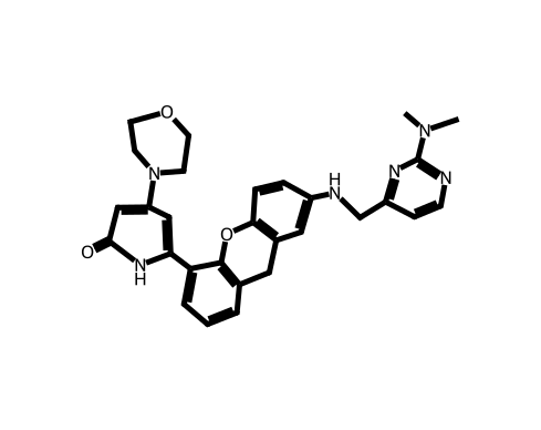 CN(C)c1nccc(CNc2ccc3c(c2)Cc2cccc(-c4cc(N5CCOCC5)cc(=O)[nH]4)c2O3)n1